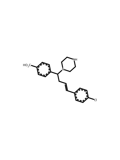 O=C(O)c1ccc(C(CC=Cc2ccc(Cl)cc2)N2CCNCC2)cc1